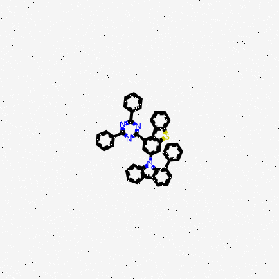 c1ccc(-c2nc(-c3ccccc3)nc(-c3cc(-n4c5ccccc5c5cccc(-c6ccccc6)c54)cc4sc5ccccc5c34)n2)cc1